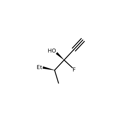 C#C[C@](O)(F)[C@@H](C)CC